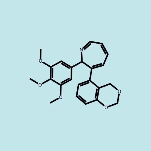 COc1cc(C2N=CC=CC=C2c2cccc3c2COCO3)cc(OC)c1OC